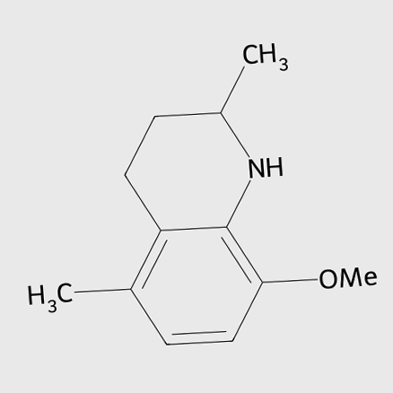 COc1ccc(C)c2c1NC(C)CC2